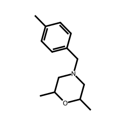 Cc1ccc(CN2CC(C)OC(C)C2)cc1